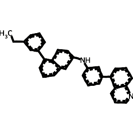 CCc1cccc(-c2cccc3cc(Nc4cccc(-c5cccc6ncccc56)c4)ccc23)c1